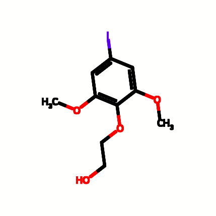 COc1cc(I)cc(OC)c1OCCO